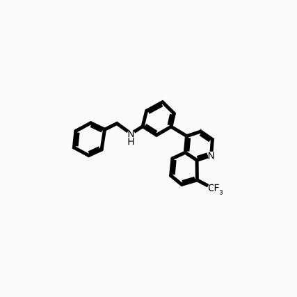 FC(F)(F)c1cccc2c(-c3cccc(NCc4ccccc4)c3)[c]cnc12